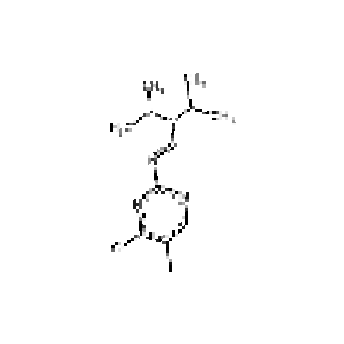 CC(C)N(/C=N/c1ncc(I)c(Cl)n1)C(C)C